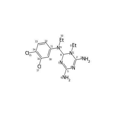 CCN1C(N)=NC(N)=NC1N(CC)c1ccc(Cl)c(Cl)c1